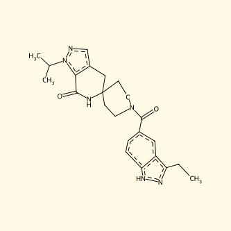 CCc1n[nH]c2ccc(C(=O)N3CCC4(CC3)Cc3cnn(C(C)C)c3C(=O)N4)cc12